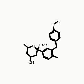 CCOc1ccc(Cc2cc(C3(OC)CC(O)CC(C)O3)ccc2C)cc1